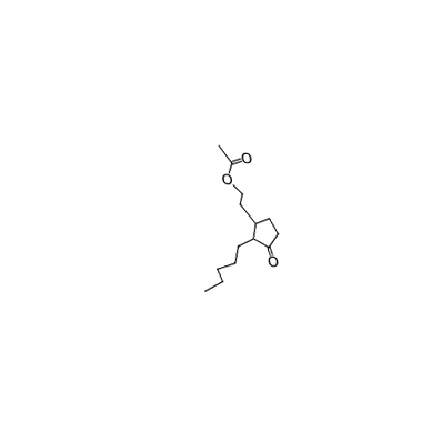 CCCCCC1C(=O)CCC1CCOC(C)=O